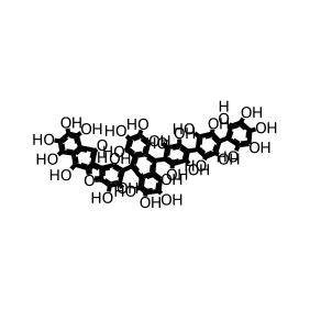 Oc1c(O)c(O)c(-c2c(O)c(O)c(-c3c(O)c(O)c(-c4c5c(O)c(O)c(O)c(O)c5c(-c5c(O)c(O)c6oc7c(O)c8c(O)c(O)c(O)c(O)c8c(O)c7c6c5O)c5c(O)c(O)c(O)c(O)c45)c(O)c3O)c(O)c2O)c(O)c1O